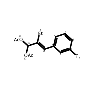 CC/C(=C\c1cccc(F)c1)C(OC(C)=O)OC(C)=O